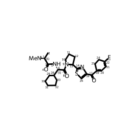 CN[C@@H](C)C(=O)N[C@H](C(=O)N1CCCC1c1nc(C(=O)C2=CC=C(F)CC2)cs1)C1CCCCC1